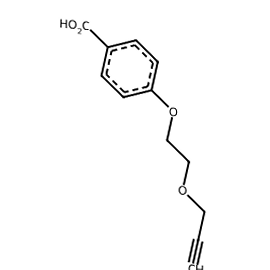 C#CCOCCOc1ccc(C(=O)O)cc1